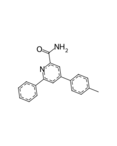 Cc1ccc(-c2cc(C(N)=O)nc(-c3ccccc3)c2)cc1